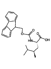 CC(C)[C@H](C)C[C@H](NC(=O)OCC1c2ccccc2-c2ccccc21)C(=O)O